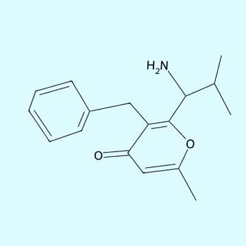 Cc1cc(=O)c(Cc2ccccc2)c(C(N)C(C)C)o1